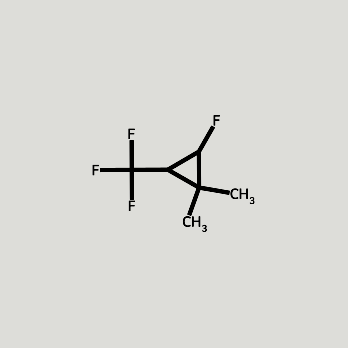 CC1(C)C(F)C1C(F)(F)F